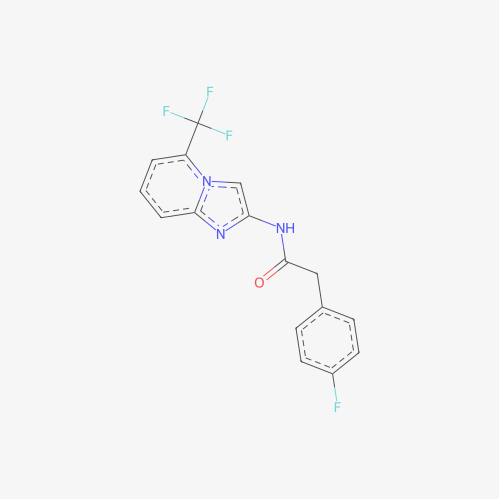 O=C(Cc1ccc(F)cc1)Nc1cn2c(C(F)(F)F)cccc2n1